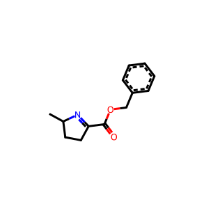 CC1CCC(C(=O)OCc2ccccc2)=N1